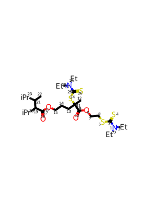 CCN(CC)C(=S)SCCOC(=O)C(C)(CCCOC(=O)C(C(C)C)C(C)C(C)C)SC(=S)N(CC)CC